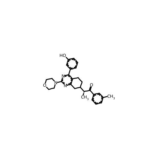 Cc1cccc(C(=O)[C@@H](C)C2CCc3c(nc(N4CCOCC4)nc3-c3cccc(O)c3)C2)c1